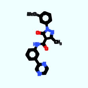 COc1cccc(N2N=C(C)C(C(=O)Nc3cccc(-c4cnccn4)c3)C2=O)c1